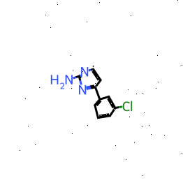 Nc1n[c]cc(-c2cccc(Cl)c2)n1